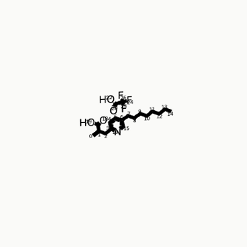 C=C(Cc1ccc(CCCCCCCC)cn1)C(=O)O.O=C(O)C(F)(F)F